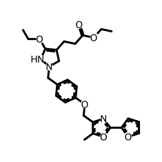 CCOC(=O)CCC1=C(OCC)NN(Cc2ccc(OCc3nc(-c4ccco4)oc3C)cc2)C1